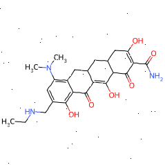 CCNCc1cc(N(C)C)c2c(c1O)C(=O)C1=C(O)C3C(=O)C(C(N)=O)=C(O)CC3CC1C2